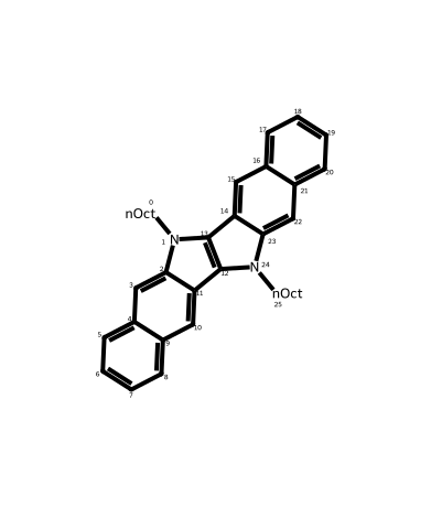 CCCCCCCCn1c2cc3ccccc3cc2c2c1c1cc3ccccc3cc1n2CCCCCCCC